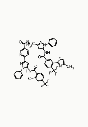 Cc1csc(-c2cc(C(=O)Nc3cc(C)nn3-c3ccccc3)ccc2C(F)(F)F)n1.NC(=O)c1ccc(-c2cc(NC(=O)c3ccc(C(F)(F)F)cc3Cl)n(-c3ccccc3)n2)nc1